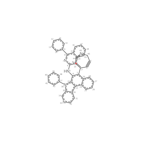 C1#CC(c2c(Nc3nc(-c4ccccc4)c4ccccc4n3)c3c(c4ccccc24)c2ccncc2n3-c2ccccc2)=CC=NC1